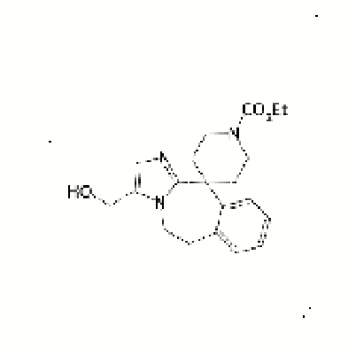 CCOC(=O)N1CCC2(CC1)c1ccccc1CCn1c(CO)cnc12